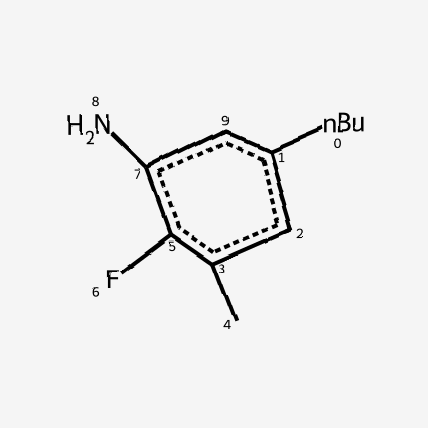 CCCCc1cc(C)c(F)c(N)c1